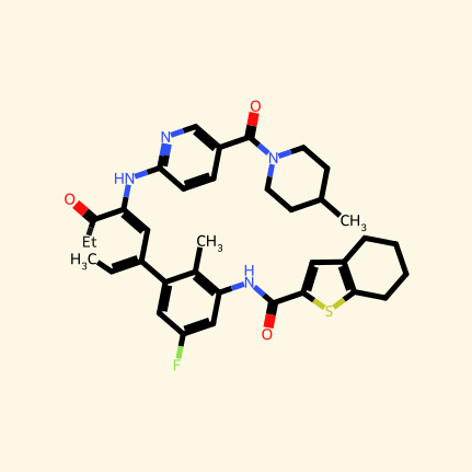 C/C=C(\C=C(\Nc1ccc(C(=O)N2CCC(C)CC2)cn1)C(=O)CC)c1cc(F)cc(NC(=O)c2cc3c(s2)CCCC3)c1C